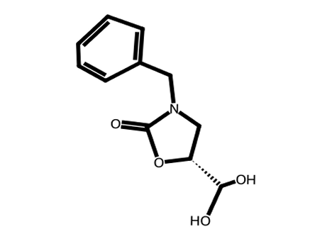 O=C1O[C@@H](C(O)O)CN1Cc1ccccc1